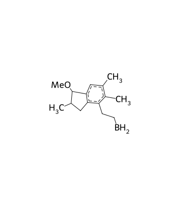 BCCc1c(C)c(C)cc2c1CC(C)C2OC